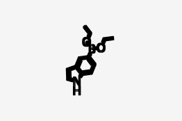 CCOB(OCC)c1ccc2[nH]ccc2c1